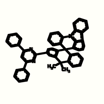 CC1(C)c2ccccc2C2(c3ccccc3-n3c4ccccc4c4cccc2c43)c2ccc(-c3nc(-c4ccccc4)cc(-c4ccccc4)n3)cc21